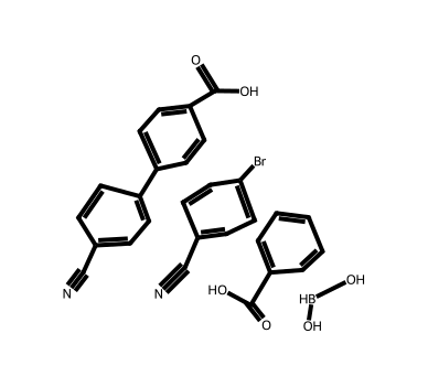 N#Cc1ccc(-c2ccc(C(=O)O)cc2)cc1.N#Cc1ccc(Br)cc1.O=C(O)c1ccccc1.OBO